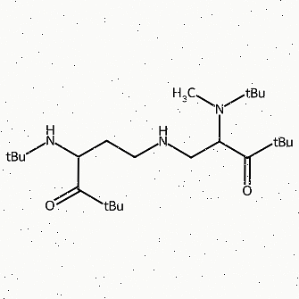 CN(C(CNCCC(NC(C)(C)C)C(=O)C(C)(C)C)C(=O)C(C)(C)C)C(C)(C)C